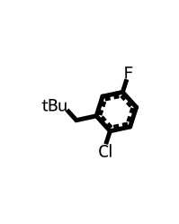 CC(C)(C)Cc1cc(F)ccc1Cl